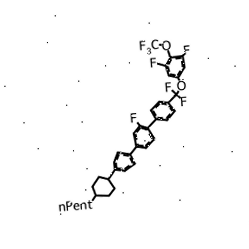 CCCCCC1CCC(c2ccc(-c3ccc(-c4ccc(C(F)(F)Oc5cc(F)c(OC(F)(F)F)c(F)c5)cc4)c(F)c3)cc2)CC1